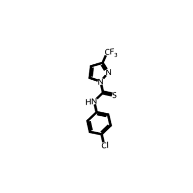 FC(F)(F)c1ccn(C(=S)Nc2ccc(Cl)cc2)n1